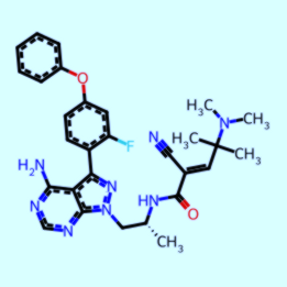 C[C@H](Cn1nc(-c2ccc(Oc3ccccc3)cc2F)c2c(N)ncnc21)NC(=O)/C(C#N)=C/C(C)(C)N(C)C